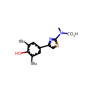 CN(C(=O)O)c1nc(-c2cc(C(C)(C)C)c(O)c(C(C)(C)C)c2)cs1